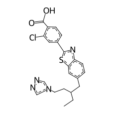 CCC(CCn1cnnc1)Cc1ccc2nc(-c3ccc(C(=O)O)c(Cl)c3)sc2c1